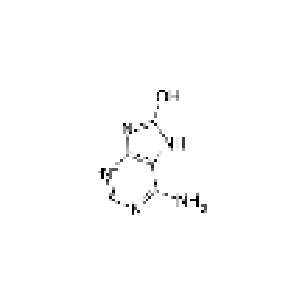 NC1=NC=[N+]c2nc(O)[nH]c21